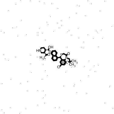 CC(=O)[C@H]1CNCC[C@@H]1C(=O)O.CC(C)(C)CN1C(=O)CSC(c2cccc3ccccc23)c2cc(Cl)ccc21